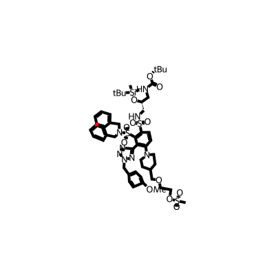 COc1ccc(Cn2nnc(-c3c(N4CCC(COCCOS(C)(=O)=O)CC4)ccc(S(=O)(=O)NC[C@@H](CNC(=O)OC(C)(C)C)O[Si](C)(C)C(C)(C)C)c3S(=O)(=O)N(Cc3ccccc3)Cc3ccccc3)n2)cc1